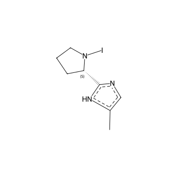 Cc1cnc([C@@H]2CCCN2I)[nH]1